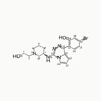 OCCN1CCC[C@@H](Nc2nnc(-c3ccc(Br)cc3O)c3cccn23)C1